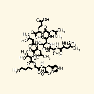 CC(C)C[C@H](NC(=O)[C@@H](NC(=O)[C@H](C)NC(=O)[C@@H](N)CC(C)C)[C@@H](C)O)C(=O)N[C@@H](CCC(=O)O)C(=O)N[C@H](C(=O)N[C@@H](CC(C)C)C(=O)N[C@H](C(=O)N[C@@H](CCCCN)C(=O)N[C@@H](Cc1c[nH]cn1)C(=O)O)[C@@H](C)O)[C@@H](C)O